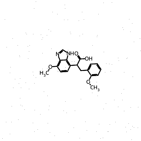 COc1ccccc1CC(C(=O)O)c1ccc(OC)c2nc[nH]c12